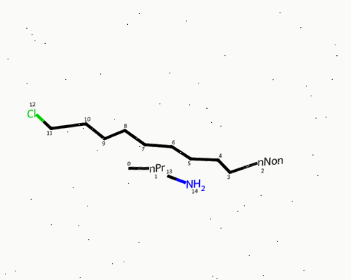 CCCC.CCCCCCCCCCCCCCCCCCCl.CN